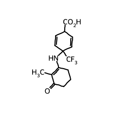 CC1=C(NC2(C(F)(F)F)C=CC(C(=O)O)C=C2)CCCC1=O